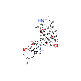 CC(C)C[C@H](NC(=O)C[C@H]1C[C@@]2(O)[C@H]3Cc4c(CC5CC5)cc(O)cc4[C@@]2(CCN3)CC1=O)C(=O)O